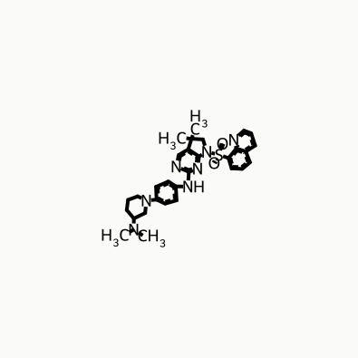 CN(C)C1CCCN(c2ccc(Nc3ncc4c(n3)N(S(=O)(=O)c3cccc5cccnc35)CC4(C)C)cc2)C1